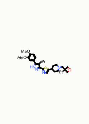 CCC1(CN2CCC(c3cnc(-c4n[nH]c(-c5ccc(OC)c(OC)c5)c4C(C)C)s3)CC2)COC1